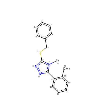 CCn1c(SCc2ccccc2)nnc1-c1ccccc1OC